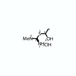 CNC(=N)SC(C)O.Cl